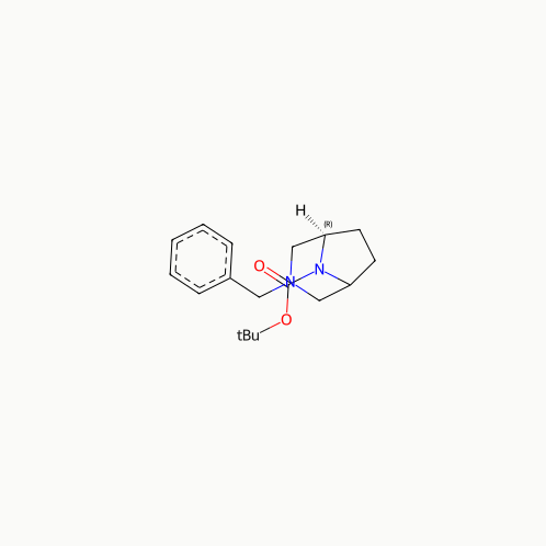 CC(C)(C)OC(=O)N1C2CC[C@@H]1CN(Cc1ccccc1)C2